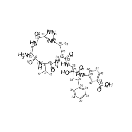 CC(C)C1NC(=O)[C@@H](N)CNC(=O)c2nnn(n2)C(C)C[C@@H](C(=O)NC[C@](O)(CCc2ccccc2)C(=O)Nc2cccc(C(=O)O)c2)NC1=O